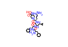 NCCCC[C@@H](NC(=O)C(CCC1CC1)NC(=O)[C@@H](Cc1ccccc1)NC(=O)[C@H](N)Cc1ccccc1)C(=O)N1CCC(N)(C(=O)O)CC1